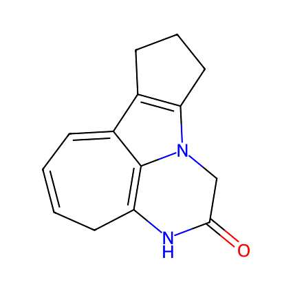 O=C1Cn2c3c(c4c2=C(CC=CC=4)N1)CCC3